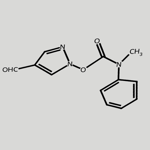 CN(C(=O)On1cc(C=O)cn1)c1ccccc1